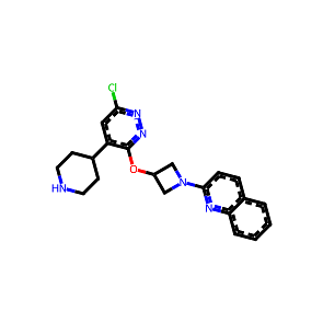 Clc1cc(C2CCNCC2)c(OC2CN(c3ccc4ccccc4n3)C2)nn1